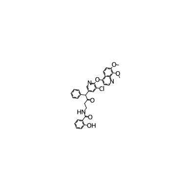 COc1ccc2c(Oc3ncc(C(C(=O)CCNC(=O)c4ccccc4O)c4ccccc4)cc3Cl)ccnc2c1OC